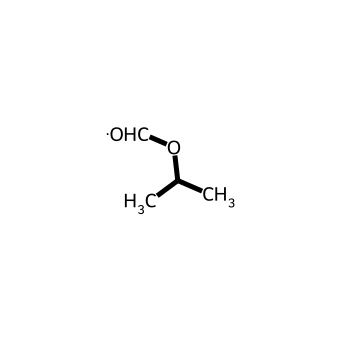 CC(C)O[C]=O